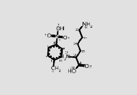 Cc1ccc(S(=O)(=O)O)cc1.NCCCCC(N)C(=O)O